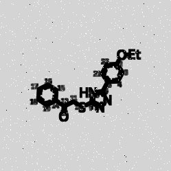 CCOc1ccc(-c2nnc(SCC(=O)c3ccccc3)[nH]2)cc1